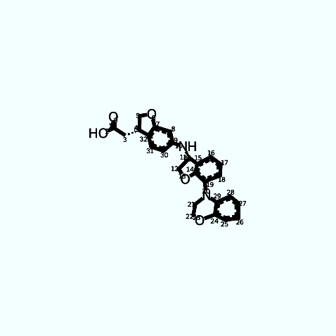 O=C(O)C[C@@H]1COc2cc(N[C@@H]3COc4c3cccc4N3CCOc4ccccc43)ccc21